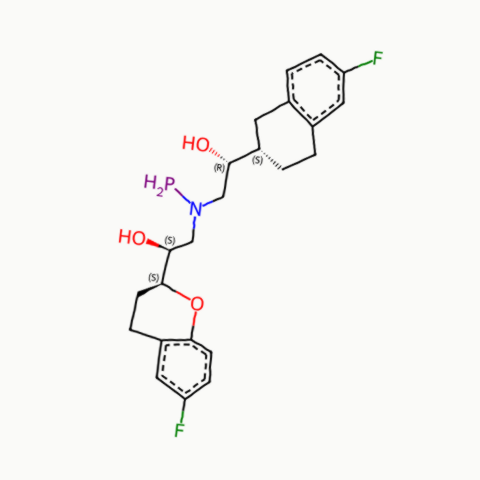 O[C@@H](CN(P)C[C@H](O)[C@@H]1CCc2cc(F)ccc2O1)[C@H]1CCc2cc(F)ccc2C1